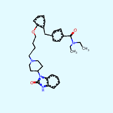 CCN(CC)C(=O)c1ccc(Cc2ccccc2OCCCCN2CCC(n3c(=O)[nH]c4ccccc43)CC2)cc1